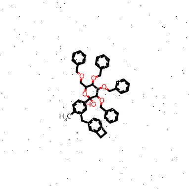 Cc1ccc(C2(O)OC(COCc3ccccc3)C(OCc3ccccc3)C(OCc3ccccc3)C2OCc2ccccc2)cc1Cc1ccc2c(c1)CC2